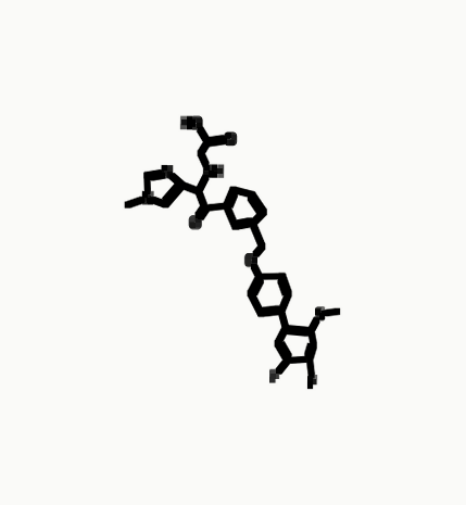 CSc1cc(F)c(F)cc1-c1ccc(OCc2cccc(C(=O)C(NCC(=O)O)c3cn(C)cn3)c2)cc1